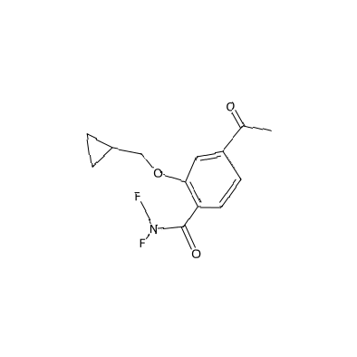 CC(=O)c1ccc(C(=O)N(F)F)c(OCC2CC2)c1